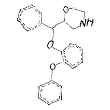 c1ccc(Oc2ccccc2OC(c2ccccc2)C2CNCCO2)cc1